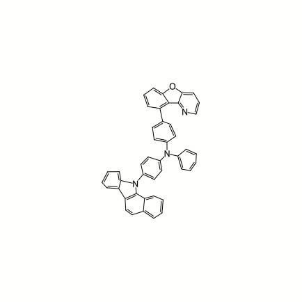 c1ccc(N(c2ccc(-c3cccc4oc5cccnc5c34)cc2)c2ccc(-n3c4ccccc4c4ccc5ccccc5c43)cc2)cc1